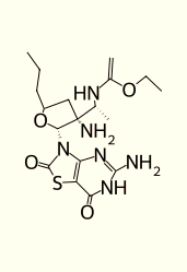 C=C(N[C@H](C)[C@]1(N)CC(CCC)O[C@H]1n1c(=O)sc2c(=O)[nH]c(N)nc21)OCC